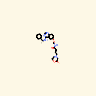 C[C@@H]1CN(CC=CC(=O)NCOc2ccc3ncnc(N[C@H](C)c4ccccc4)c3c2)CC(=O)O1